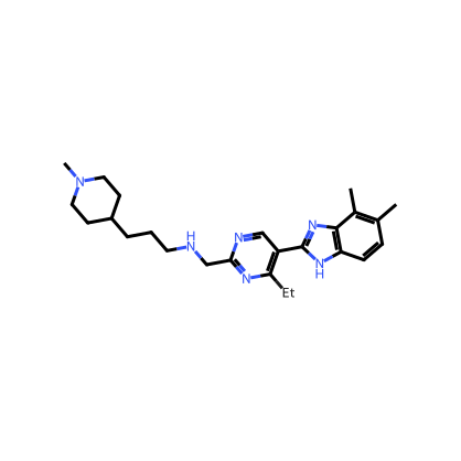 CCc1nc(CNCCCC2CCN(C)CC2)ncc1-c1nc2c(C)c(C)ccc2[nH]1